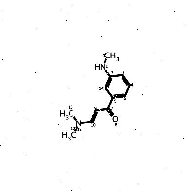 CNc1cccc(C(=O)/C=C/N(C)C)c1